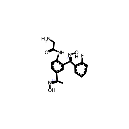 C/C(=N\O)c1ccc(NC(=O)CN)c(/C(=N/O)c2ccccc2F)c1